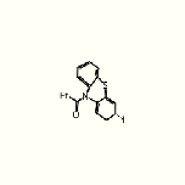 CCC(=O)N1C2=CC[C@@H](I)C=C2Sc2ccccc21